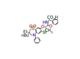 CCCCC1(CC)CN(c2ccccc2)c2cc(Br)c(O[C@H](C)C(=O)N[C@@H](C(=O)O)c3ccccc3)cc2S(=O)(=O)C1